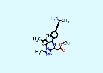 Cc1sc2c(c1C)C(c1ccc(C#CC(C)N)cc1)=NC(CC(=O)OC(C)(C)C)c1nnc(C)n1-2